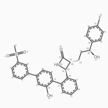 CS(=O)(=O)c1cccc(-c2ccc(-c3ccccc3[C@H]3NC(=O)[C@@H]3CC[C@H](O)c3ccc(F)cc3)c(O)c2)c1